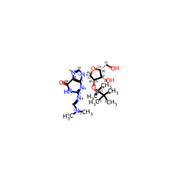 CN(C)C=Nc1nc2c(ncn2[C@@H]2O[C@H](CO)[C@H](O)[C@H]2O[Si](C)(C)C(C)(C)C)c(=O)[nH]1